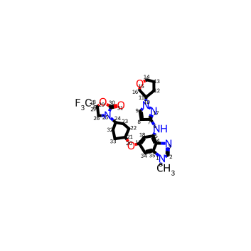 Cn1cnc2c(Nc3ccn(C4CCCOC4)n3)cc(OC3CCC(N4C[C@H](C(F)(F)F)OC4=O)CC3)cc21